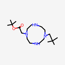 CC(C)(C)CN1CCNCCN(CC(=O)OC(C)(C)C)CCNCC1